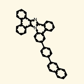 c1ccc2cc(-c3ccc(-c4ccc5c(c4)c4ccccc4c4nc6c7ccccc7c7ccccc7c6n54)cc3)ccc2c1